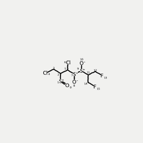 O=[S+]C(CCl)C(Cl)[S+]([O-])[S+]([O-])C(CF)CF